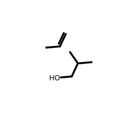 C=CC.CC(C)CO